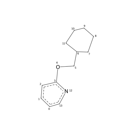 c1ccc(OCC2CCCCC2)nc1